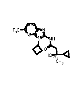 C[C@](O)(CC(=O)Nc1nc2ccc(C(F)(F)F)nc2n1C1CCC1)C1CC1